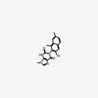 Cc1ccc2cc(C)c(-n3c(=O)[nH]c4c(ncn4C)c3=O)c(C)c2c1.I